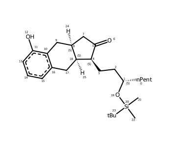 CCCCC[C@@H](CC[C@@H]1C(=O)C[C@@H]2Cc3c(O)cccc3C[C@@H]21)O[Si](C)(C)C(C)(C)C